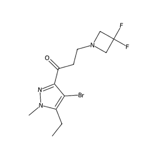 CCc1c(Br)c(C(=O)CCN2CC(F)(F)C2)nn1C